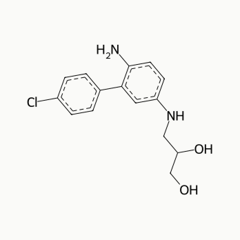 Nc1ccc(NCC(O)CO)cc1-c1ccc(Cl)cc1